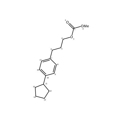 COC(=O)OCCCc1ccc(C2CCCC2)cc1